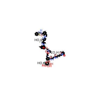 Cc1c(-c2ccc(N3CCc4cccc(C(=O)Nc5nc6ccccc6s5)c4C3)nc2C(=O)O)cnn1CC12CC3CC(C)(C1)CC(OCCN(CCC(=O)O)C(=O)OC/C=C/c1ccc(O[C@@H]4O[C@H](C(=O)O)[C@@H](O)[C@H](O)[C@H]4O)c(NC(=O)CCNC(=O)CCCCCN4C(=O)C=CC4=O)c1)(C3)C2